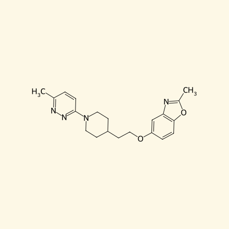 Cc1ccc(N2CCC(CCOc3ccc4oc(C)nc4c3)CC2)nn1